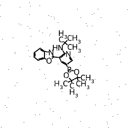 CC(C)(C)Nc1ncc(B2OC(C)(C)C(C)(C)O2)cc1-c1nc2ccccc2o1